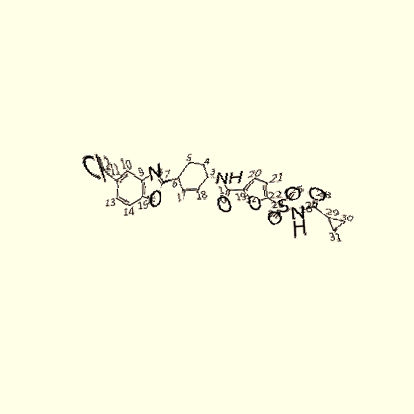 O=C(N[C@H]1CC[C@H](c2nc3cc(Cl)ccc3o2)CC1)c1ccc(S(=O)(=O)NC(=O)C2CC2)o1